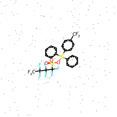 O=S(=O)(OS(c1ccccc1)(c1ccccc1)c1ccc(C(F)(F)F)cc1)C(F)(F)C(F)(F)C(F)(F)C(F)(F)F